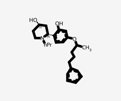 CCCN1CC[C@H](O)C[C@@H]1c1ccc(OC(C)CCCc2ccccc2)cc1O